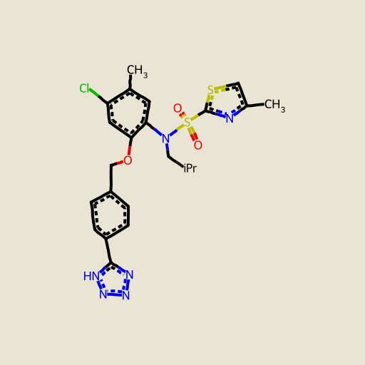 Cc1csc(S(=O)(=O)N(CC(C)C)c2cc(C)c(Cl)cc2OCc2ccc(-c3nnn[nH]3)cc2)n1